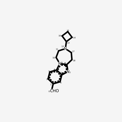 O=Cc1ccc2c(c1)nc1n2CCN(C2CCC2)CC1